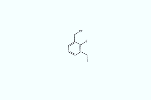 CCc1cccc(CBr)c1F